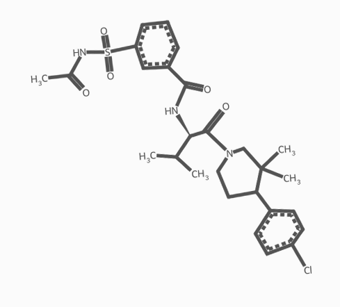 CC(=O)NS(=O)(=O)c1cccc(C(=O)N[C@@H](C(=O)N2CCC(c3ccc(Cl)cc3)C(C)(C)C2)C(C)C)c1